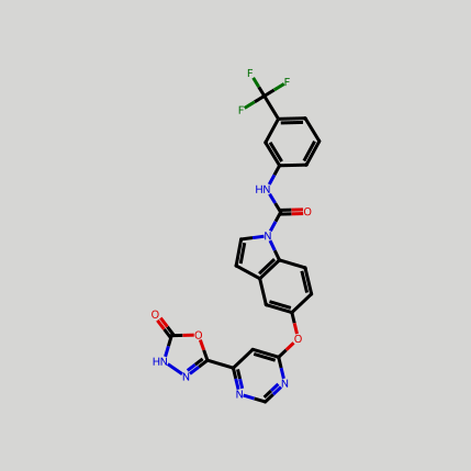 O=C(Nc1cccc(C(F)(F)F)c1)n1ccc2cc(Oc3cc(-c4n[nH]c(=O)o4)ncn3)ccc21